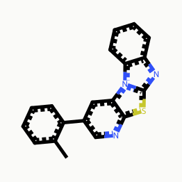 Cc1ccccc1-c1cnc2sc3nc4ccccc4n3c2c1